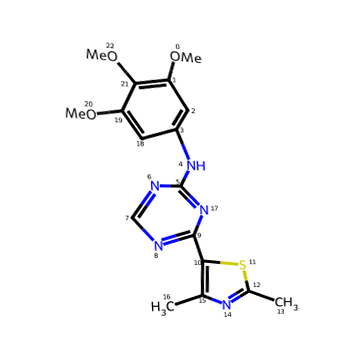 COc1cc(Nc2ncnc(-c3sc(C)nc3C)n2)cc(OC)c1OC